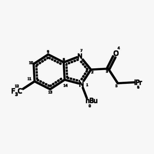 CCCCn1c(C(=O)CC(C)C)nc2ccc(C(F)(F)F)cc21